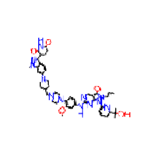 C=CCn1c(=O)c2cnc(Nc3ccc(N4CCN(CC5CCN(c6ccc7c(C8CCC(=O)NC8=O)nn(C)c7c6)CC5)CC4)c(OC)c3)nc2n1-c1cccc(C(C)(C)O)n1